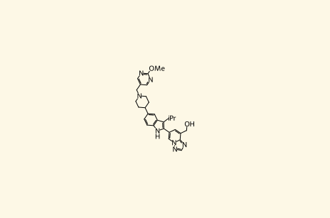 COc1ncc(CN2CCC(c3ccc4[nH]c(-c5cc(CO)c6ncnn6c5)c(C(C)C)c4c3)CC2)cn1